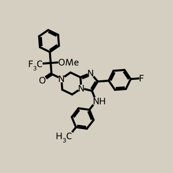 COC(C(=O)N1CCn2c(nc(-c3ccc(F)cc3)c2Nc2ccc(C)cc2)C1)(c1ccccc1)C(F)(F)F